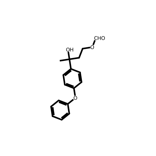 CC(O)(CCOC=O)c1ccc(Oc2ccccc2)cc1